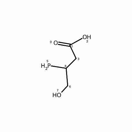 O=C(O)CC(P)CO